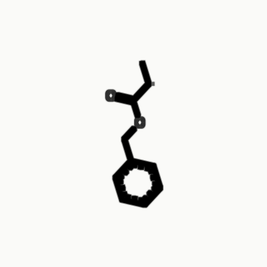 C[CH]C(=O)OCc1ccccc1